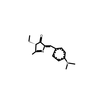 CC[C@@H]1C(=O)/C(=C/c2ccc(N(C)C)cc2)N=C1C